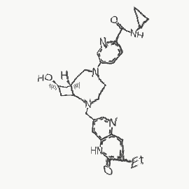 CCc1cc2ncc(CN3CCN(c4ccc(C(=O)NC5CC5)nc4)C[C@@H]4C3C[C@H]4O)cc2[nH]c1=O